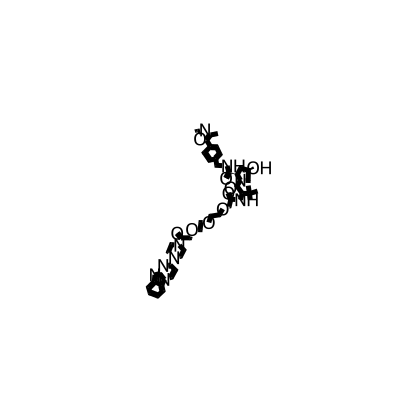 Cc1ncoc1-c1ccc(CNC(=O)[C@@H]2C[C@@H](O)CN2C(=O)C(NC(=O)COCCOCCOCC(=O)N2CCN(c3ccn4c(n3)nc3ccccc34)CC2)C(C)(C)C)cc1